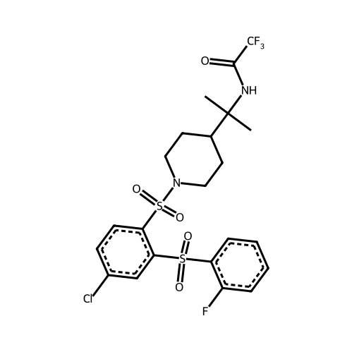 CC(C)(NC(=O)C(F)(F)F)C1CCN(S(=O)(=O)c2ccc(Cl)cc2S(=O)(=O)c2ccccc2F)CC1